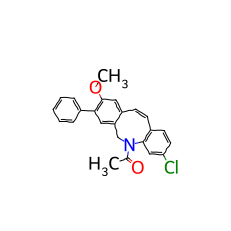 COc1cc2c(cc1-c1ccccc1)CN(C(C)=O)c1cc(Cl)ccc1C=C2